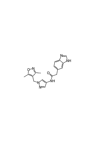 Cc1noc(C)c1Cn1cc(NC(=O)Cc2ccc3nc[nH]c3c2)cn1